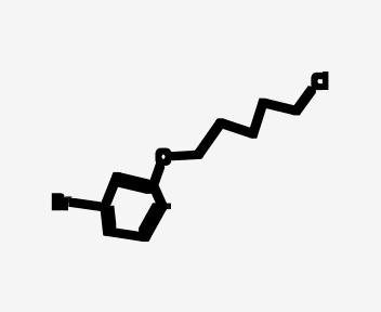 ClCCCCCOc1[c]ccc(Br)c1